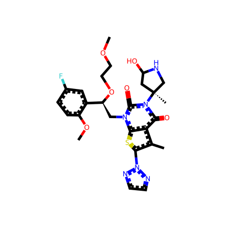 COCCO[C@@H](Cn1c(=O)n([C@]2(C)CNC(O)C2)c(=O)c2c(C)c(-n3nccn3)sc21)c1cc(F)ccc1OC